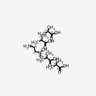 CC(C)C(=O)O.CC(C)C(=O)O.CC(C)C(=O)O.CC(C)C(=O)O.CCN(C)CCN